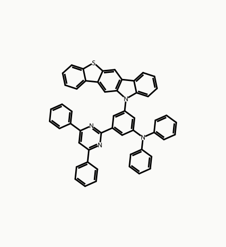 c1ccc(-c2cc(-c3ccccc3)nc(-c3cc(N(c4ccccc4)c4ccccc4)cc(-n4c5ccccc5c5cc6sc7ccccc7c6cc54)c3)n2)cc1